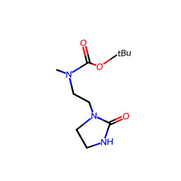 CN(CCN1CCNC1=O)C(=O)OC(C)(C)C